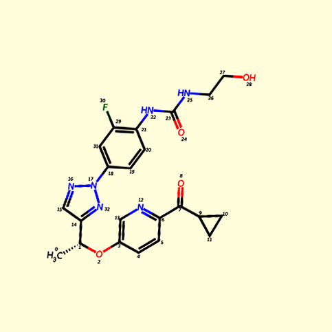 C[C@@H](Oc1ccc(C(=O)C2CC2)nc1)c1cnn(-c2ccc(NC(=O)NCCO)c(F)c2)n1